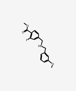 COC(=O)c1ccc(CNCc2cccc(OC)c2)cc1F